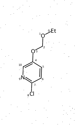 CCOCOc1ccc(Cl)nc1